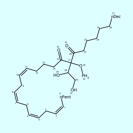 CCCCC/C=C\C/C=C\C/C=C\C/C=C\CCCC(=O)C(OP)(C(=O)CCCCCCCCCCCCCCC)C(O)CO